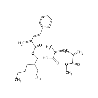 C=C(C)C(=O)O.C=C(C)C(=O)OC.C=C(C=Cc1ccccc1)C(=O)OCC(CC)CCCC